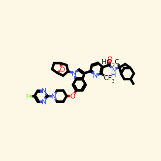 CC1CC2CC(C1)C(NC(=O)c1ccc(-c3cn(C4CC5CCC(C4)O5)c4cc(OC5CCN(c6ncc(F)cn6)CC5)ccc34)nc1C(F)(F)F)(C(=O)O)C2